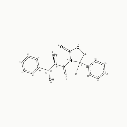 CCC[C@@H](C(=O)N1C(=O)OCC1(I)c1ccccc1)[C@H](O)c1ccccc1